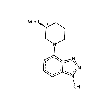 CO[C@H]1CCCN(c2cccc3c2nnn3C)C1